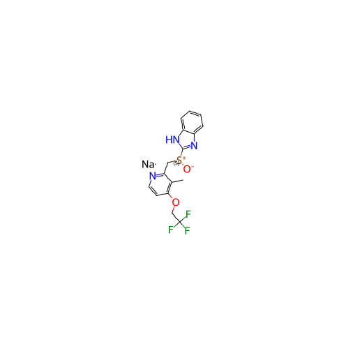 Cc1c(OCC(F)(F)F)ccnc1C[S@@+]([O-])c1nc2ccccc2[nH]1.[Na]